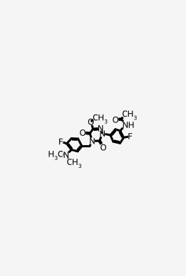 COc1nn(-c2ccc(F)c(NC(C)=O)c2)c(=O)n(Cc2ccc(F)c(N(C)C)c2)c1=O